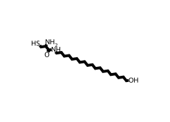 NC(CS)C(=O)NCCCCCCCCCCCCCCCCCCCO